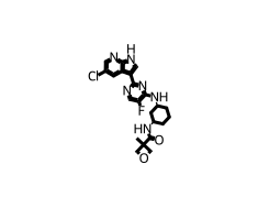 CC1(C(=O)N[C@H]2CCC[C@@H](Nc3nc(-c4c[nH]c5ncc(Cl)cc45)ncc3F)C2)COC1